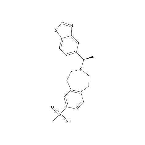 C[C@H](c1ccc2scnc2c1)N1CCc2ccc(S(C)(=N)=O)cc2CC1